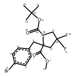 COC(=O)C1(Cc2ccc(Br)cc2)CC(F)(F)CN1C(=O)OC(C)(C)C